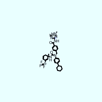 CN/N=C(\N=N)NC(=O)c1ccc(CN(C(=O)NC2(C)C=C(SC(F)(F)F)C=CC2)c2ccc(C3CCCCC3)cc2)cc1